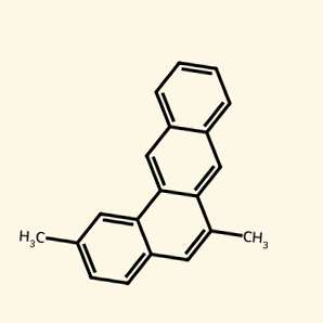 Cc1ccc2cc(C)c3cc4ccccc4cc3c2c1